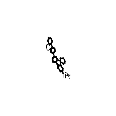 CC(C)c1ccc2c(c1)C1(CCCC1)c1cc(-c3ccc4c(c3)oc3ccccc34)ccc1-2